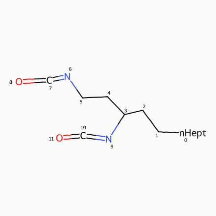 CCCCCCCCCC(CCN=C=O)N=C=O